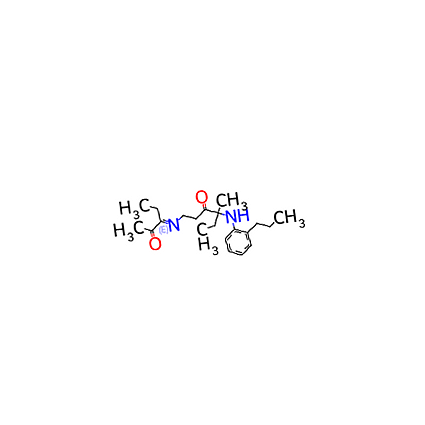 CCCc1ccccc1NC(C)(CC)C(=O)CC/N=C(\CC)C(C)=O